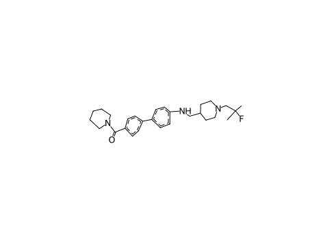 CC(C)(F)CN1CCC(CNc2ccc(-c3ccc(C(=O)N4CCCCC4)cc3)cc2)CC1